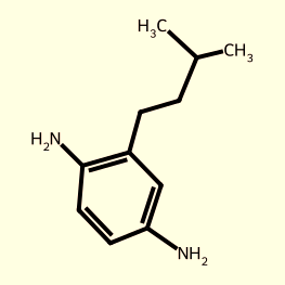 CC(C)CCc1cc(N)ccc1N